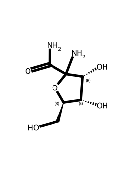 NC(=O)C1(N)O[C@H](CO)[C@@H](O)[C@H]1O